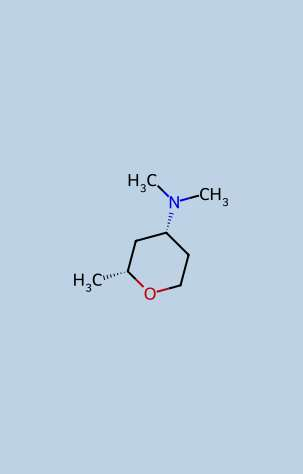 C[C@@H]1C[C@H](N(C)C)CCO1